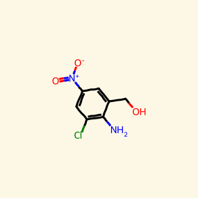 Nc1c(Cl)cc([N+](=O)[O-])cc1CO